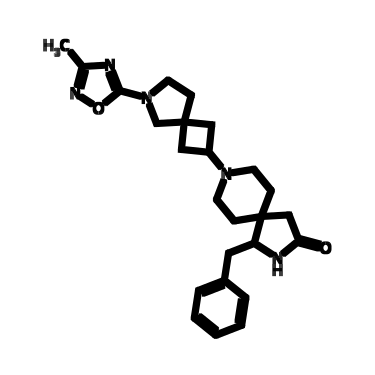 Cc1noc(N2CCC3(CC(N4CCC5(CC4)CC(=O)NC5Cc4ccccc4)C3)C2)n1